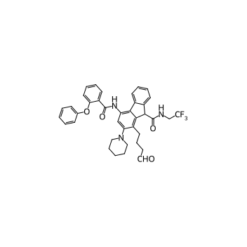 O=CCCCc1c(N2CCCCC2)cc(NC(=O)c2ccccc2Oc2ccccc2)c2c1C(C(=O)NCC(F)(F)F)c1ccccc1-2